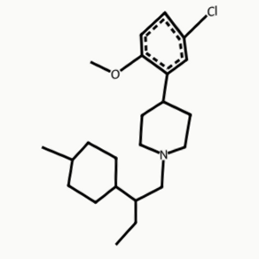 CCC(CN1CCC(c2cc(Cl)ccc2OC)CC1)C1CCC(C)CC1